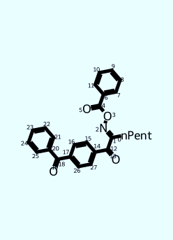 CCCCC/C(=N\OC(=O)c1ccccc1)C(=O)c1ccc(C(=O)c2ccccc2)cc1